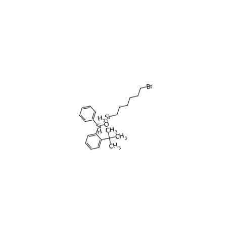 CC(C)(C)c1ccccc1[SiH](O[SiH2]CCCCCCBr)c1ccccc1